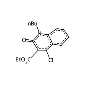 CCCCn1c(=O)c(C(=O)OCC)c(Cl)c2ccccc21